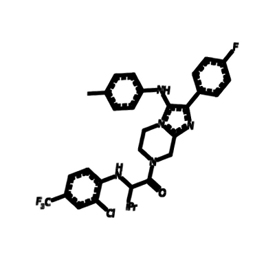 Cc1ccc(Nc2c(-c3ccc(F)cc3)nc3n2CCN(C(=O)C(Nc2ccc(C(F)(F)F)cc2Cl)C(C)C)C3)cc1